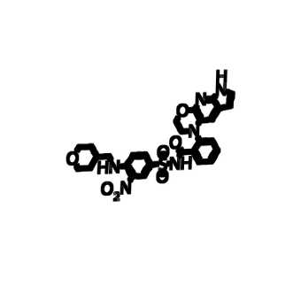 O=C(NS(=O)(=O)c1ccc(NCC2CCOCC2)c([N+](=O)[O-])c1)c1ccccc1N1CCOc2nc3[nH]ccc3cc21